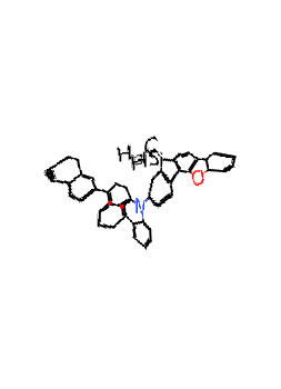 C[SiH]1C2=C(C=CC(N(C3=CC=C(C4=CCC5C=CCCC5=C4)CC3)c3ccccc3C3=CC=CCC3)C2)c2c1ccc1c2OC2C=CC=CC12